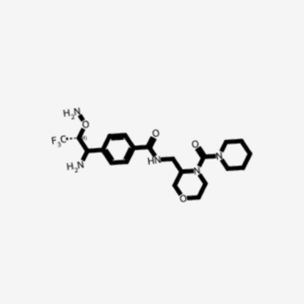 NO[C@H](C(N)c1ccc(C(=O)NCC2COCCN2C(=O)N2CCCCC2)cc1)C(F)(F)F